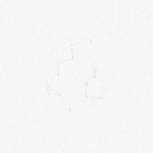 CCCCN1C=CN(C)C1.O=C1CCC(=O)N1